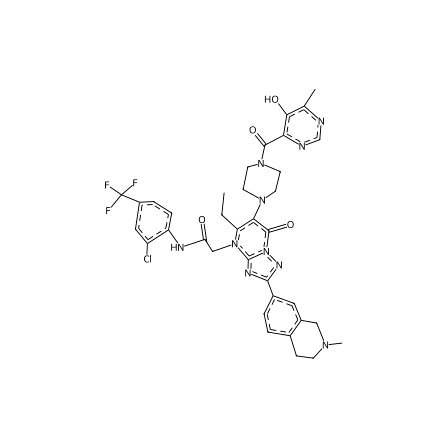 CCc1c(N2CCN(C(=O)c3ncnc(C)c3O)CC2)c(=O)n2nc(-c3ccc4c(c3)CN(C)CC4)nc2n1CC(=O)Nc1ccc(C(F)(F)F)cc1Cl